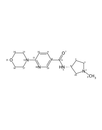 CN1CC[C@@H](NC(=O)c2ccc(N3CCOCC3)nc2)C1